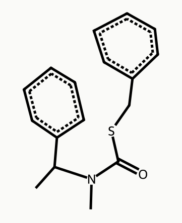 CC(c1ccccc1)N(C)C(=O)SCc1ccccc1